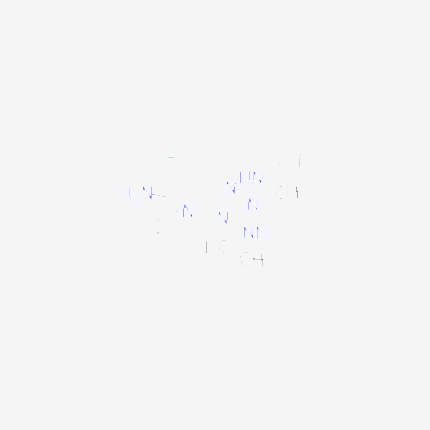 CC(C)Nc1nc(NC(C)C)nc(-c2cc(F)c(N)c(Cl)n2)n1